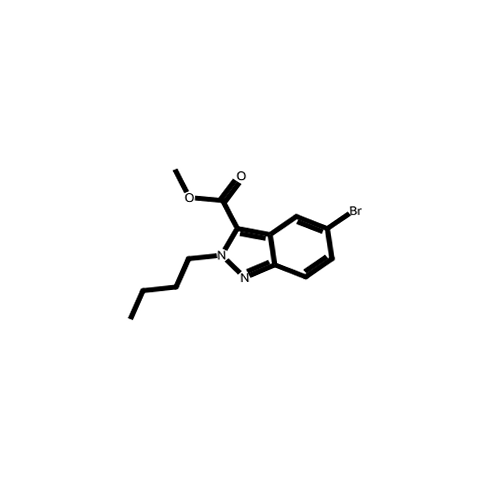 CCCCn1nc2ccc(Br)cc2c1C(=O)OC